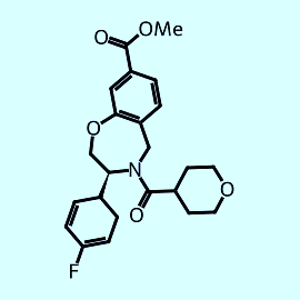 COC(=O)c1ccc2c(c1)OC[C@H](C1C=CC(F)=CC1)N(C(=O)C1CCOCC1)C2